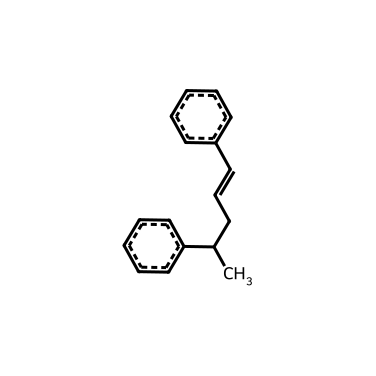 CC(CC=Cc1ccccc1)c1ccccc1